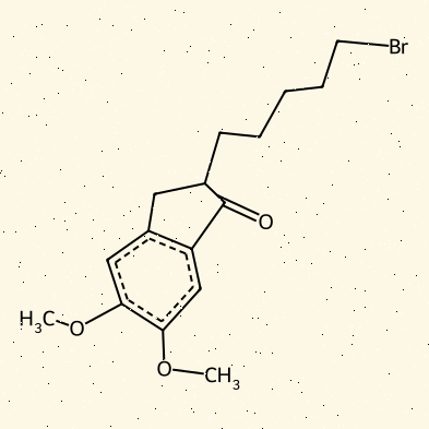 COc1cc2c(cc1OC)C(=O)C(CCCCCBr)C2